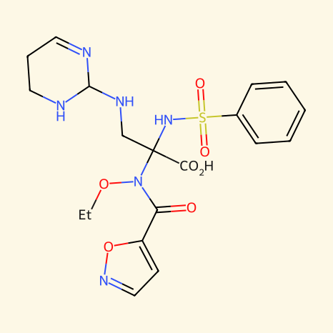 CCON(C(=O)c1ccno1)C(CNC1N=CCCN1)(NS(=O)(=O)c1ccccc1)C(=O)O